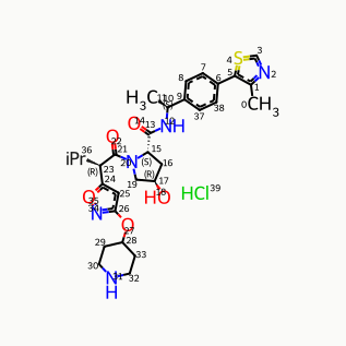 Cc1ncsc1-c1ccc([C@H](C)NC(=O)[C@@H]2C[C@@H](O)CN2C(=O)[C@@H](c2cc(OC3CCNCC3)no2)C(C)C)cc1.Cl